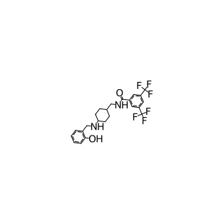 O=C(NCC1CCC(NCc2ccccc2O)CC1)c1cc(C(F)(F)F)cc(C(F)(F)F)c1